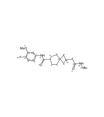 COc1cc(NC(=O)C2CCC3(CC2)CN(CC(=O)NC(C)(C)C)C3)ccc1F